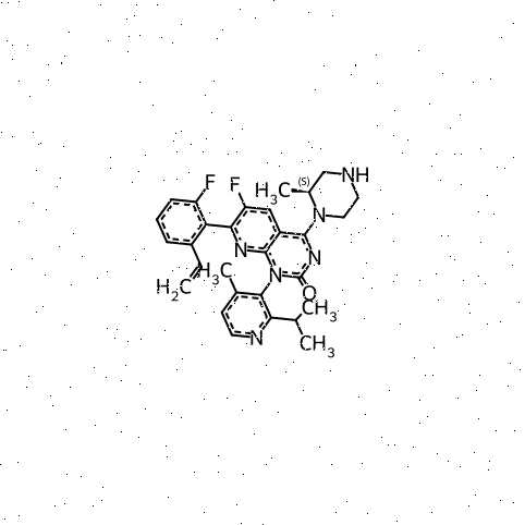 C=Cc1cccc(F)c1-c1nc2c(cc1F)c(N1CCNC[C@@H]1C)nc(=O)n2-c1c(C)ccnc1C(C)C